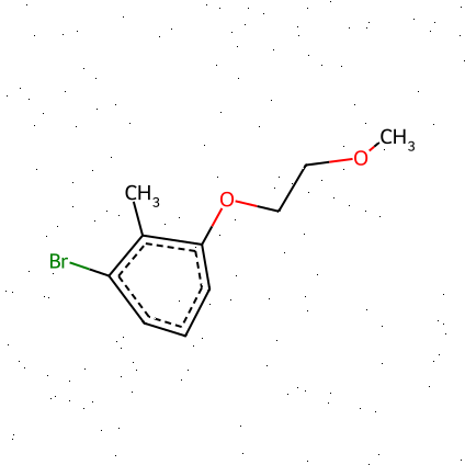 COCCOc1cccc(Br)c1C